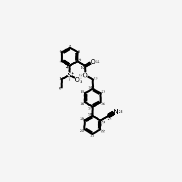 CC[S+]([O-])c1ccccc1C(=O)OCc1ccc(-c2ccccc2C#N)cc1